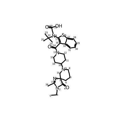 CCN1C(=O)C2(CCCN(C3CCN(C(=O)c4c(N(C(=O)O)C(C)(C)C)sc5ccccc45)CC3)C2)N=C1C